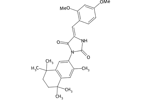 COc1ccc(C=C2NC(=O)N(c3cc4c(cc3C)C(C)(C)CCC4(C)C)C2=O)c(OC)c1